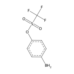 Bc1ccc(OS(=O)(=O)C(F)(F)F)cc1